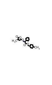 CC1=CC(O/C=C(/C(=O)OCc2ccc(C)cc2)c2ccccc2)OC1=O